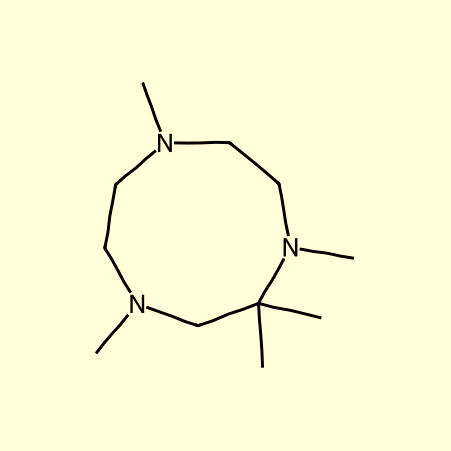 CN1CCN(C)CC(C)(C)N(C)CC1